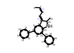 C/C=C\C=C1\c2cc(-c3ccccc3)cc(-c3ccccc3)c2NC1C